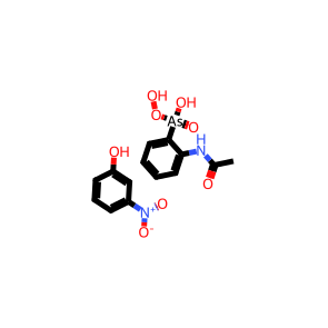 CC(=O)Nc1ccccc1[As](=O)(O)OO.O=[N+]([O-])c1cccc(O)c1